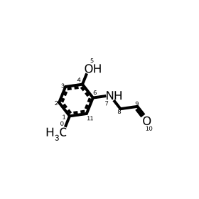 Cc1ccc(O)c(NCC=O)c1